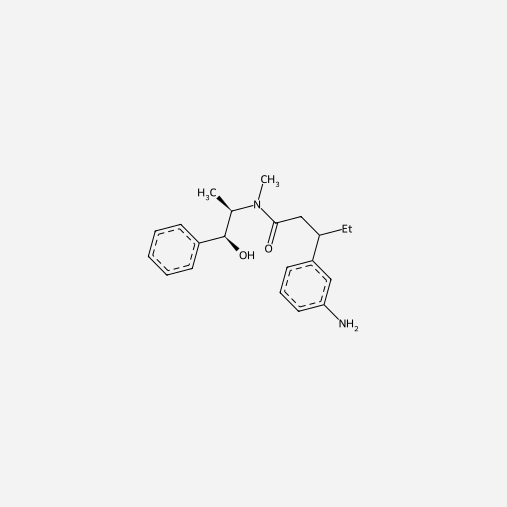 CCC(CC(=O)N(C)[C@H](C)[C@@H](O)c1ccccc1)c1cccc(N)c1